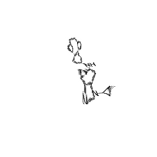 c1cc2c(cc1Nc1cc3c(cn1)ncn3C1CC1)OCCO2